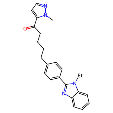 CCn1c(-c2ccc(CCCCC(=O)c3ccnn3C)cc2)nc2ccccc21